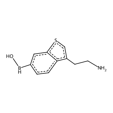 NCCc1csc2cc(BO)ccc12